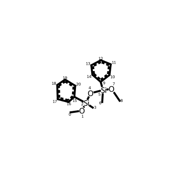 CO[Si](C)(O[Si](C)(OC)c1ccccc1)c1ccccc1